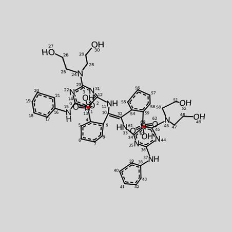 O=S(=O)(O)c1ccccc1C(Nc1nc(Nc2ccccc2)nc(N(CCO)CCO)n1)=C(Nc1nc(Nc2ccccc2)nc(N(CCO)CCO)n1)c1ccccc1S(=O)(=O)O